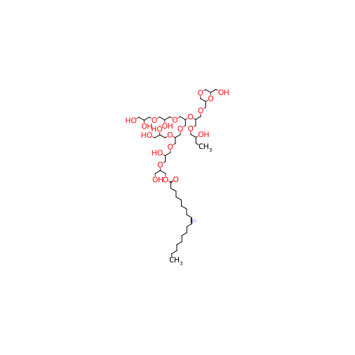 CCCCCCCC/C=C\CCCCCCCC(=O)OCC(CO)OCC(O)COCC(COCC(COCC(O)COCC(O)CO)OC(COCC(O)CC)COCC1COCC(CO)O1)OCC(O)CO